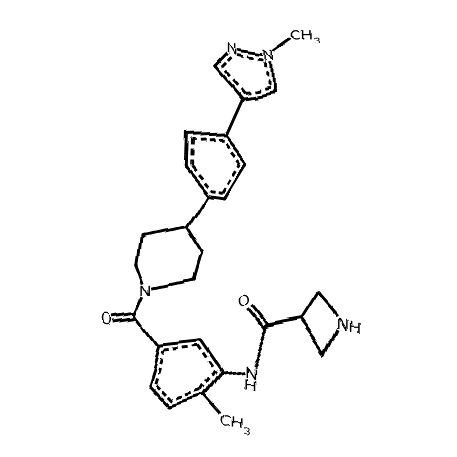 Cc1ccc(C(=O)N2CCC(c3ccc(-c4cnn(C)c4)cc3)CC2)cc1NC(=O)C1CNC1